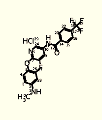 CNc1ccc(Oc2ccc(NC(=O)c3ccc(C(F)(F)F)cc3)cn2)c(F)c1.Cl